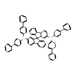 C1=CC(N(C2=CC3C(C=C2)c2ccccc2C32c3ccccc3-c3ccc(N(c4ccc(-c5ccccc5)cc4)c4ccc(-c5ccccc5)cc4)cc32)C2=CC=C(c3ccccc3)CC2)CC=C1c1ccccc1